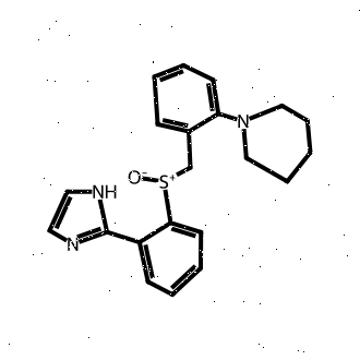 [O-][S+](Cc1ccccc1N1CCCCC1)c1ccccc1-c1ncc[nH]1